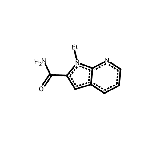 CCn1c(C(N)=O)cc2cccnc21